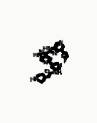 O=C(CC1CCNCC1)Nc1cncc(-c2cc3c(-c4nc5c(-c6ccc(F)s6)cncc5[nH]4)n[nH]c3cn2)c1